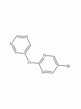 Brc1cnc(Oc2cncnc2)nc1